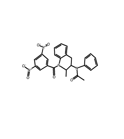 CC(=O)N(c1ccccc1)C1Cc2ccccc2N(C(=O)c2cc([N+](=O)[O-])cc([N+](=O)[O-])c2)C1C